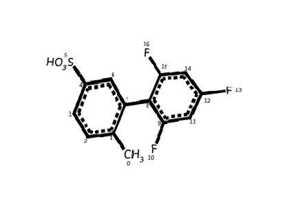 Cc1ccc(S(=O)(=O)O)cc1-c1c(F)cc(F)cc1F